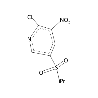 CC(C)S(=O)(=O)c1cnc(Cl)c([N+](=O)[O-])c1